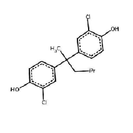 CC(C)CC(C)(c1ccc(O)c(Cl)c1)c1ccc(O)c(Cl)c1